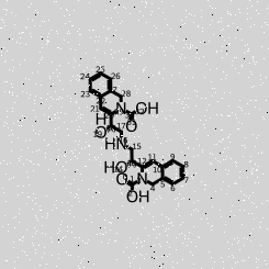 O=C(O)N1Cc2ccccc2C=C1[C@H](O)CNC[C@@H](O)C1=Cc2ccccc2CN1C(=O)O